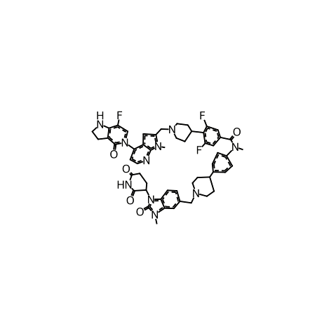 CN(C(=O)c1cc(F)c(C2CCN(Cc3cc4c(-n5cc(F)c6c(c5=O)CCN6)ccnc4n3C)CC2)c(F)c1)c1ccc(C2CCN(Cc3ccc4c(c3)n(C)c(=O)n4C3CCC(=O)NC3=O)CC2)cc1